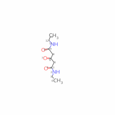 CCNC(=O)CC(=O)CC(=O)NCC